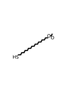 CC(=O)OCCCCCCCCCCCCCCCCCCS